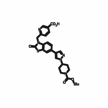 CC(C)(C)OC(=O)N1CCC(n2cc(-c3ccc4c(c3)sc(=O)n4Cc3ccc(C(=O)O)cn3)cn2)CC1